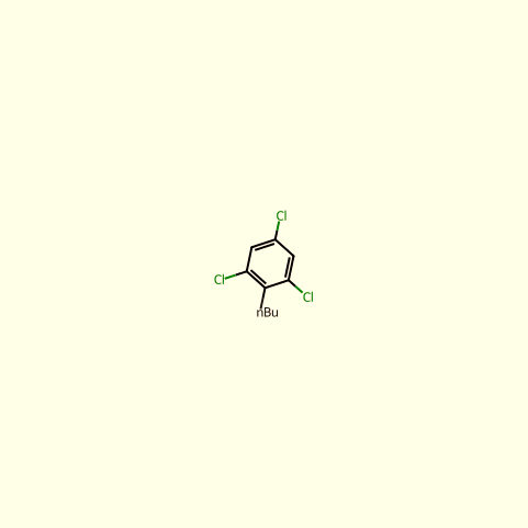 CCCCc1c(Cl)cc(Cl)cc1Cl